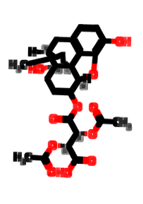 CC(=O)O[C@@H](C(=O)O)[C@@H](OC(C)=O)C(=O)OC1=CC[C@@]2(O)[C@H]3Cc4ccc(O)c5c4[C@@]2(CCC3C)[C@H]1O5